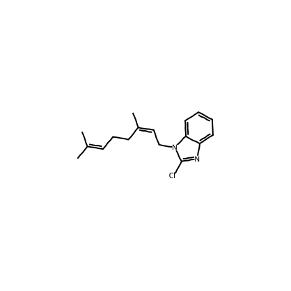 CC(C)=CCCC(C)=CCn1c(Cl)nc2ccccc21